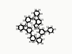 c1ccc(-c2cc(-c3ccccc3)cc(-n3ccc4c3ccc3c5ccccc5n(-c5cccc(-n6c7ccccc7c7cc(-c8ccccc8)ccc76)c5)c34)c2)cc1